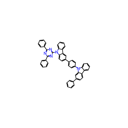 c1ccc(-c2ccc3c4ccccc4n(-c4ccc(-c5ccc6c(c5)c5ccccc5n6-c5nc(-c6ccccc6)nc(-c6ccccc6)n5)cc4)c3c2)cc1